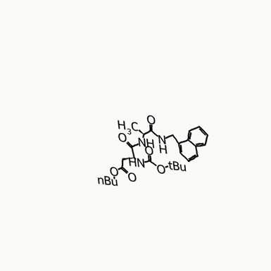 CCCCOC(=O)C[C@H](NC(=O)OC(C)(C)C)C(=O)N[C@@H](C)C(=O)NCc1cccc2ccccc12